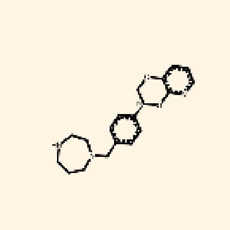 c1cnc2c(c1)OC[C@H](c1ccc(CN3CCCNCC3)cc1)O2